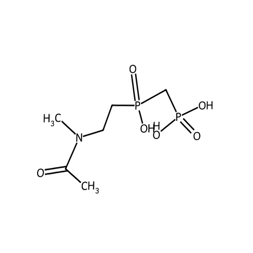 CC(=O)N(C)CCP(=O)(O)CP(=O)(O)O